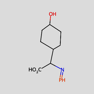 O=C(O)C(N=P)C1CCC(O)CC1